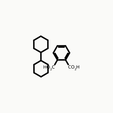 C1CCC(C2CCCCC2)CC1.O=C(O)c1ccccc1C(=O)O